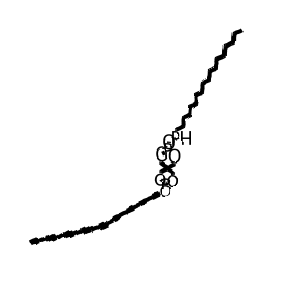 C#CC#CC#CC#CC#CC#CC#CC#CC#COP1OCC2(CO1)COP(OPCCCCCCCCCCCCCCCCCC)OC2